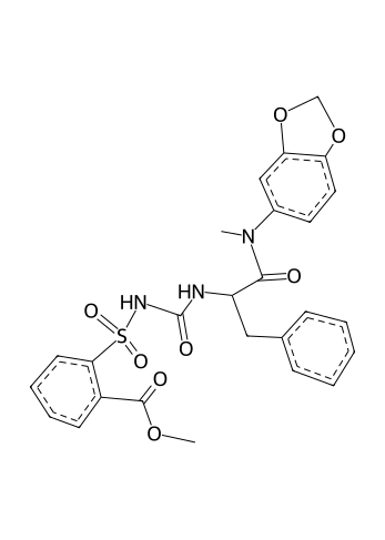 COC(=O)c1ccccc1S(=O)(=O)NC(=O)NC(Cc1ccccc1)C(=O)N(C)c1ccc2c(c1)OCO2